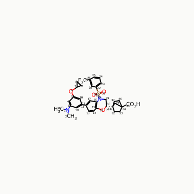 CN(C)c1cc(OC2CC2)cc(-c2ccc3c(c2)N(S(=O)(=O)c2cccc(C(F)(F)F)c2)C[C@H](C24CCC(C(=O)O)(CC2)C4)O3)c1